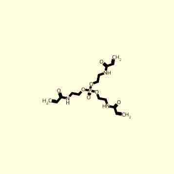 C=CC(=O)NCCOP(=O)(OCCNC(=O)C=C)OCCNC(=O)C=C